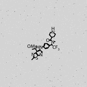 COC(C)c1c(Nc2ccc(C(N(C)C(=O)C3CCNCC3)C(F)(F)F)cc2)cnc2sc(C)nc12